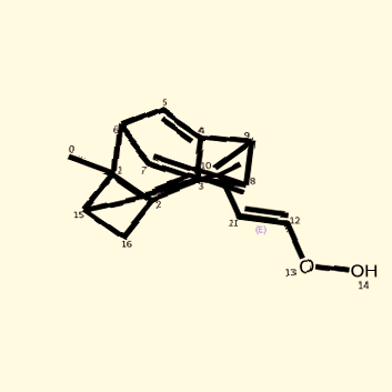 CC12C3=C4C5=CC1C=C4C5=C(/C=C/OO)C2C3